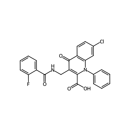 O=C(NCc1c(C(=O)O)n(-c2ccccc2)c2cc(Cl)ccc2c1=O)c1ccccc1F